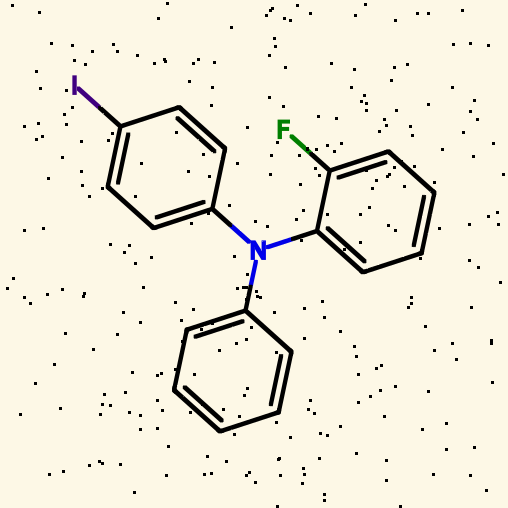 Fc1ccccc1N(c1ccccc1)c1ccc(I)cc1